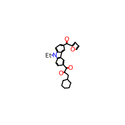 CCn1c2ccc(C(=O)C(=O)CC3CCCCC3)cc2c2cc(C(=O)c3ccco3)ccc21